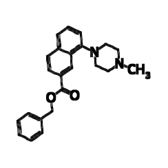 CN1CCN(c2cccc3ccc(C(=O)OCc4ccccc4)cc23)CC1